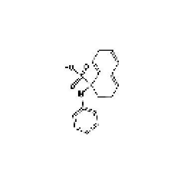 O=S(=O)(O)C1(Nc2ccccc2)C=CC=C2C=CCC=C21